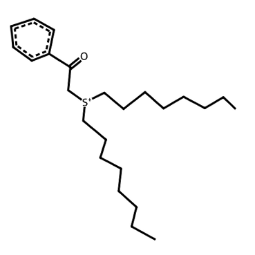 CCCCCCCC[S+](CCCCCCCC)CC(=O)c1ccccc1